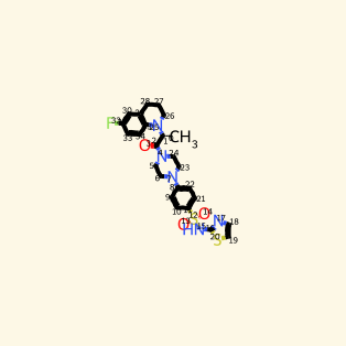 C[C@H](C(=O)N1CCN(c2ccc(S(=O)(=O)Nc3nccs3)cc2)CC1)N1CCCc2cc(F)ccc21